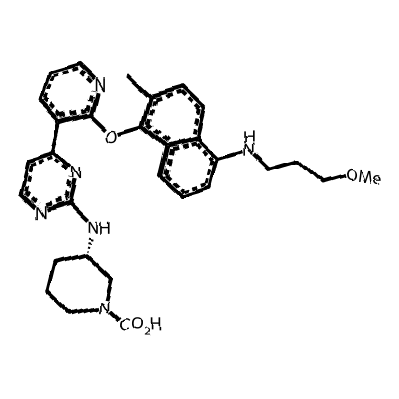 COCCCNc1cccc2c(Oc3ncccc3-c3ccnc(N[C@H]4CCCN(C(=O)O)C4)n3)c(C)ccc12